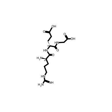 N=C(N)NCCC[C@@H](N)C(=O)N[C@H](CCC(=O)O)C(=O)NCC(=O)O